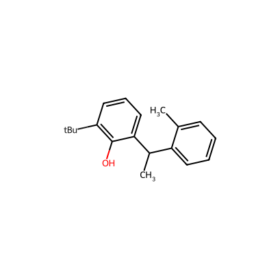 Cc1ccccc1C(C)c1cccc(C(C)(C)C)c1O